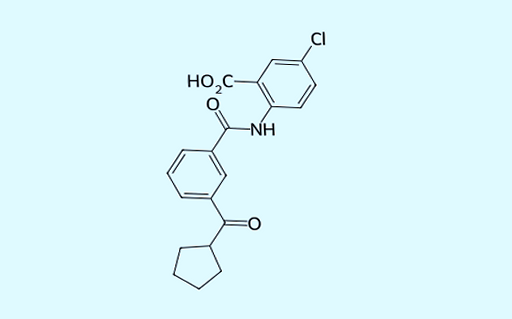 O=C(Nc1ccc(Cl)cc1C(=O)O)c1cccc(C(=O)C2CCCC2)c1